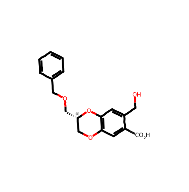 O=C(O)c1cc2c(cc1CO)O[C@@H](COCc1ccccc1)CO2